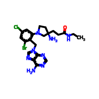 CCNC(=O)CC[C@@]1(N)CCN(c2cc(Cl)cc(Br)c2Cn2cnc3c(N)ncnc32)C1